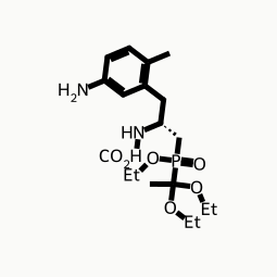 CCOC(C)(OCC)P(=O)(C[C@@H](Cc1cc(N)ccc1C)NC(=O)O)OCC